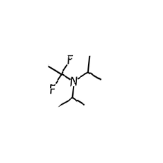 CC(C)N(C(C)C)C(C)(F)F